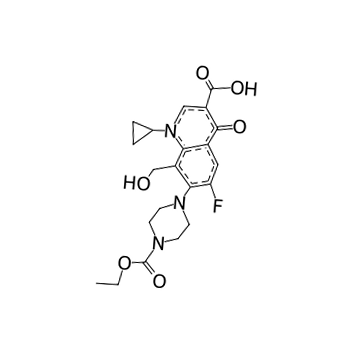 CCOC(=O)N1CCN(c2c(F)cc3c(=O)c(C(=O)O)cn(C4CC4)c3c2CO)CC1